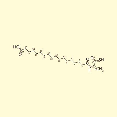 C[C@H](NC(=O)CCCCCCCCCCCCCCCCC(=O)O)C(=O)S